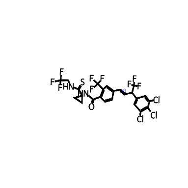 O=C(NC1(C(=S)NCC(F)(F)F)CC1)c1ccc(/C=C/C(c2cc(Cl)c(Cl)c(Cl)c2)C(F)(F)F)cc1C(F)(F)F